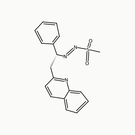 CS(=O)(=O)N=N[C@H](Cc1ccc2ccccc2n1)c1ccccc1